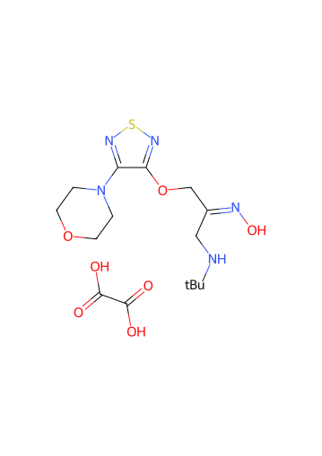 CC(C)(C)NC/C(COc1nsnc1N1CCOCC1)=N\O.O=C(O)C(=O)O